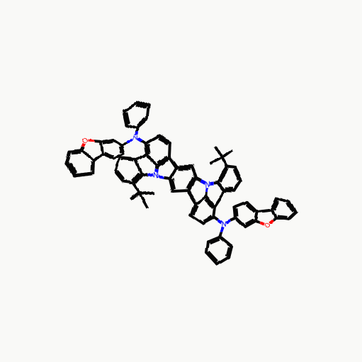 CC(C)(C)c1cccc2c3c(N(c4ccccc4)c4ccc5c(c4)oc4ccccc45)ccc4c5cc6c(cc5n(c12)c43)c1ccc(N(c2ccccc2)c2ccc3c(c2)oc2ccccc23)c2c3cccc(C(C)(C)C)c3n6c12